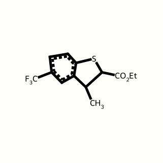 CCOC(=O)C1Sc2ccc(C(F)(F)F)cc2C1C